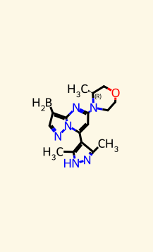 Bc1cnn2c(-c3c(C)n[nH]c3C)cc(N3CCOC[C@H]3C)nc12